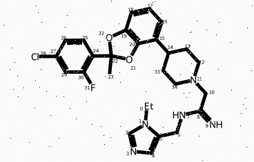 CCn1cncc1CNC(=N)CN1CCC(c2cccc3c2OC(C)(c2ccc(Cl)cc2F)O3)CC1